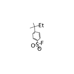 CCC(C)(C)c1ccc(S(=O)(=O)F)cc1